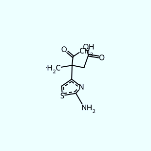 [CH2]C(CC(=O)O)(C(C)=O)c1csc(N)n1